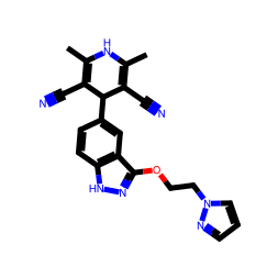 CC1=C(C#N)C(c2ccc3[nH]nc(OCCn4cccn4)c3c2)C(C#N)=C(C)N1